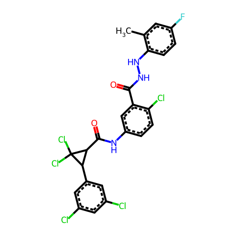 Cc1cc(F)ccc1NNC(=O)c1cc(NC(=O)C2C(c3cc(Cl)cc(Cl)c3)C2(Cl)Cl)ccc1Cl